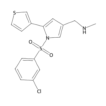 CNCc1cc(-c2ccsc2)n(S(=O)(=O)c2cccc(Cl)c2)c1